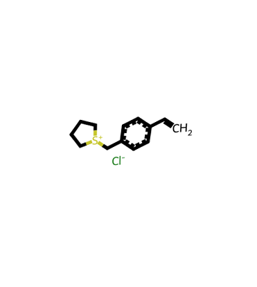 C=Cc1ccc(C[S+]2CCCC2)cc1.[Cl-]